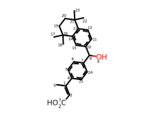 CC(=CC(=O)O)c1ccc(C(O)c2ccc3c(c2)C(C)(C)CCC3(C)C)cc1